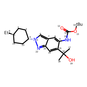 CC[C@H]1CC[C@H](n2cc3cc(NC(=O)OC(C)(C)C)c(C(C)(C)O)cc3n2)CC1